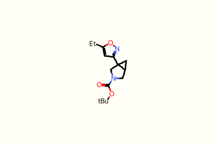 CCc1cc(C23CC2CN(C(=O)OC(C)(C)C)C3)no1